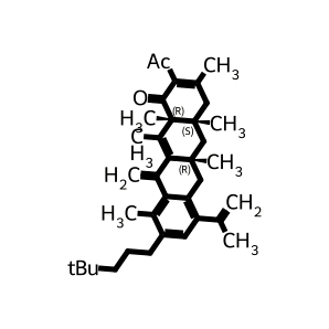 C=C(C)c1cc(CCCC(C)(C)C)c(C)c2c1C[C@@]1(C)C[C@@]3(C)CC(C)=C(C(C)=O)C(=O)[C@@]3(C)C(C)=C1C2=C